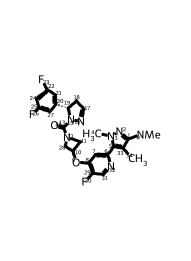 CNc1nn(C)c(-c2cc(OC3CN(C(=O)N4N=CC[C@H]4c4cc(F)cc(F)c4)C3)c(F)cn2)c1C